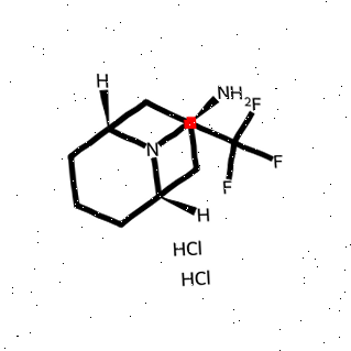 Cl.Cl.N[C@@H]1C[C@H]2CCC[C@@H](C1)N2CC(F)(F)F